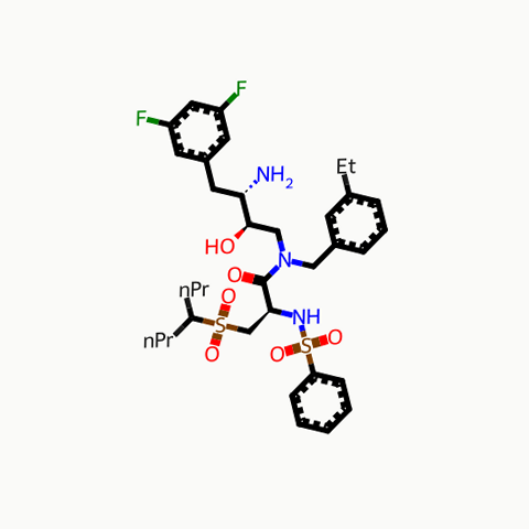 CCCC(CCC)S(=O)(=O)C[C@H](NS(=O)(=O)c1ccccc1)C(=O)N(Cc1cccc(CC)c1)C[C@@H](O)[C@@H](N)Cc1cc(F)cc(F)c1